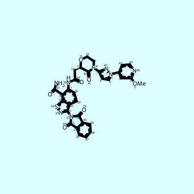 COc1cc(-n2ccc(N3CCO[C@H]([CH]C(=O)Nc4ccc5c(N6C(=O)c7ccccc7C6=O)nsc5c4C(N)=O)C3=O)n2)ccn1